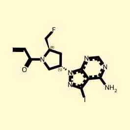 C=CC(=O)N1C[C@@H](n2nc(I)c3c(N)ncnc32)C[C@@H]1CF